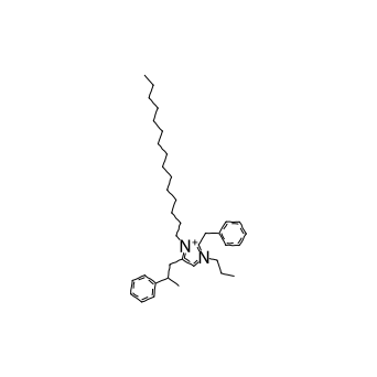 CCCCCCCCCCCCCCC[n+]1c(CC(C)c2ccccc2)cn(CCC)c1Cc1ccccc1